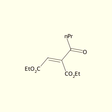 CCCC(=O)C(=CC(=O)OCC)C(=O)OCC